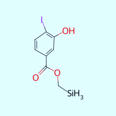 O=C(OC[SiH3])c1ccc(I)c(O)c1